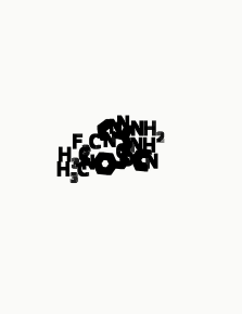 CN(C)C1CCC(COc2ccncc2NC(=O)c2c(N)nn3ccc(C(F)(F)F)nc23)CC1